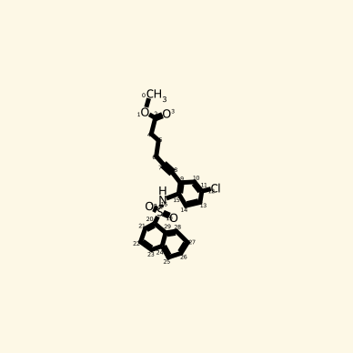 COC(=O)CCCC#Cc1cc(Cl)ccc1NS(=O)(=O)c1cccc2ccccc12